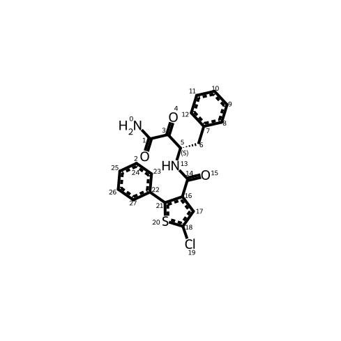 NC(=O)C(=O)[C@H](Cc1ccccc1)NC(=O)c1cc(Cl)sc1-c1ccccc1